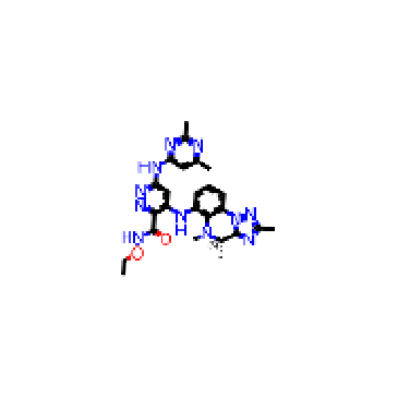 CCONC(=O)c1nnc(Nc2cc(C)nc(C)n2)cc1Nc1cccc2c1N(C)[C@@H](C)c1nc(C)nn1-2